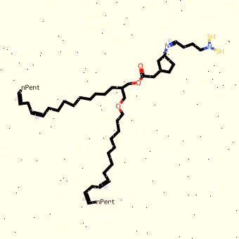 CCCCC/C=C\C/C=C\CCCCCCCCCC(COCCCCCCCC/C=C\C/C=C\CCCCC)COC(=O)CC1CCC(/N=C\CCCN(S)S)C1